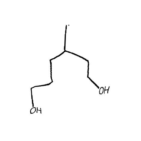 [CH2]C(CCO)CCCO